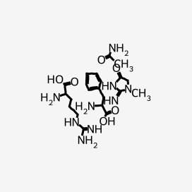 CC(N)=O.CN1CC(=O)NC1=N.N=C(N)NCCCC(N)C(=O)O.NC(Cc1ccccc1)C(=O)O